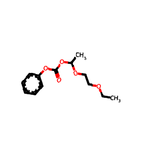 CCOCCOC(C)OC(=O)Oc1ccccc1